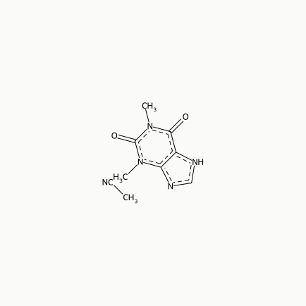 CC#N.Cn1c(=O)c2[nH]cnc2n(C)c1=O